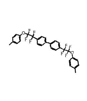 Cc1ccc(OC(F)(F)C(F)(F)c2ccc(-c3ccc(C(F)(F)C(F)(F)Oc4ccc(C)cc4)cc3)cc2)cc1